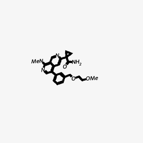 CNc1ncc(-c2cccc(COCCOC)c2)c2cc(C3(C(N)=O)CC3)ncc12